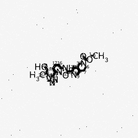 CCOC(=O)N1CCc2cnc(C(=O)Nc3cccc(-c4nncn4[C@H](C)CO)n3)cc2C1